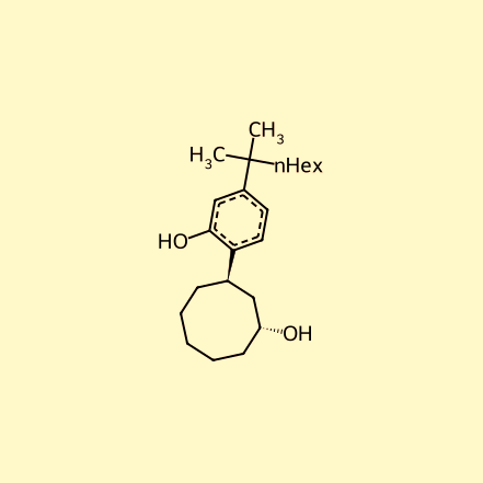 CCCCCCC(C)(C)c1ccc([C@@H]2CCCCC[C@@H](O)C2)c(O)c1